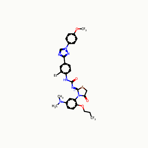 CCc1cc(-c2ncn(-c3ccc(OC(F)(F)F)cc3)n2)ccc1NC(=O)/N=C1\SCC(=O)N1c1cc(N(C)C)ccc1OCCC(F)(F)F